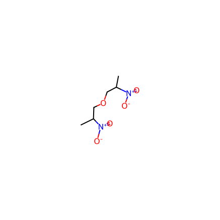 CC(COCC(C)[N+](=O)[O-])[N+](=O)[O-]